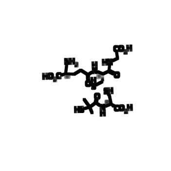 CC(C)(S)C(=O)N[C@@H](CS)C(=O)O.N[C@@H](CCC(=O)N[C@@H](CS)C(=O)NCC(=O)O)C(=O)O